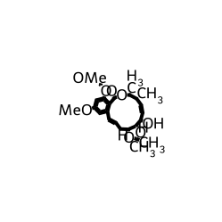 COCOc1cc(OC)cc2c1C(=O)O[C@@H](C)[C@H](C)/C=C\C(O)[C@H]1OC(C)(C)O[C@H]1C/C=C/2